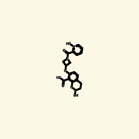 O=C(O)c1c(OC2CN(C(=O)c3cccc[n+]3O)C2)ccc2c1OB(O)CC2